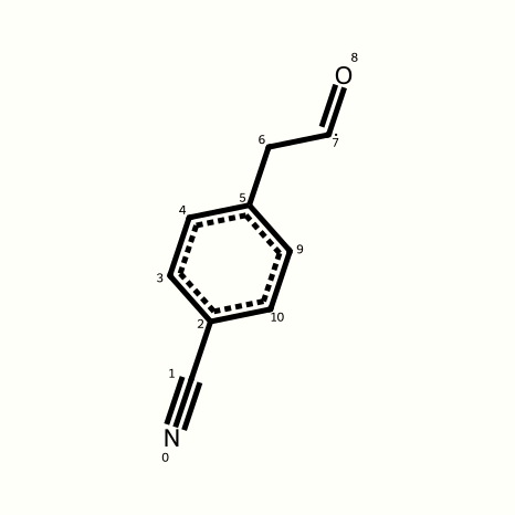 N#Cc1ccc(C[C]=O)cc1